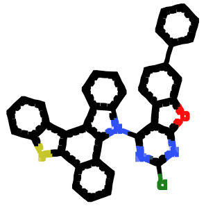 Clc1nc(-n2c3ccccc3c3c4c5ccccc5sc4c4ccccc4c32)c2c(n1)oc1cc(-c3ccccc3)ccc12